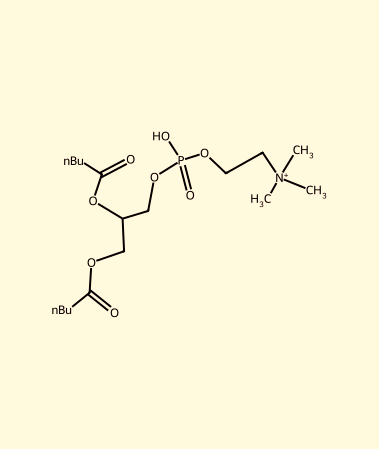 CCCCC(=O)OCC(COP(=O)(O)OCC[N+](C)(C)C)OC(=O)CCCC